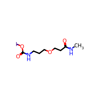 CNC(=O)CCOCCCNC(=O)OI